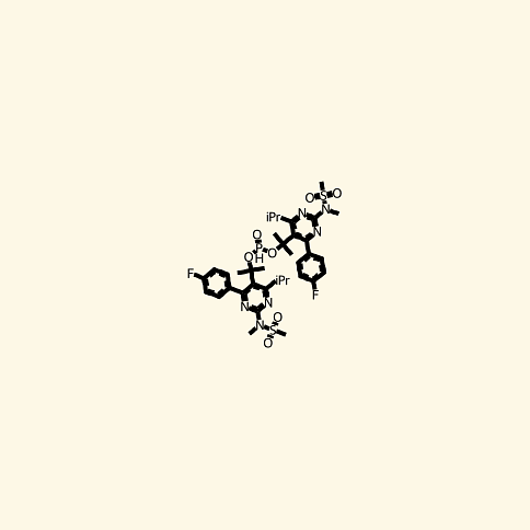 CC(C)c1nc(N(C)S(C)(=O)=O)nc(-c2ccc(F)cc2)c1C(C)(C)O[PH](=O)OC(C)(C)c1c(-c2ccc(F)cc2)nc(N(C)S(C)(=O)=O)nc1C(C)C